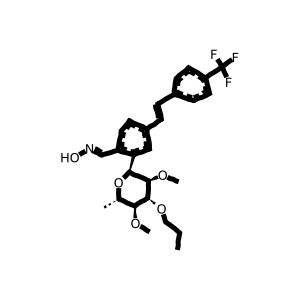 CCCO[C@@H]1[C@@H](OC)[C@H](C)O[C@@H](c2cc(/C=C/c3ccc(C(F)(F)F)cc3)ccc2C=NO)[C@H]1OC